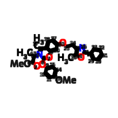 COC(=O)[C@H](C)N(C(=O)Oc1ccc(OC)cc1)[C@H](C)c1ccc(OCCc2nc(-c3ccccc3)oc2C)cc1